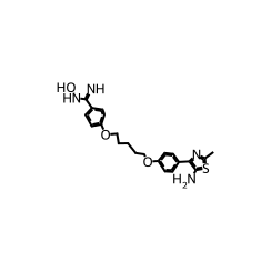 Cc1nc(-c2ccc(OCCCCCOc3ccc(C(=N)NO)cc3)cc2)c(N)s1